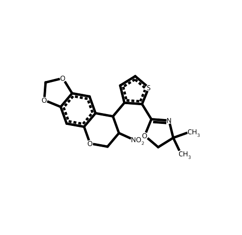 CC1(C)COC(c2sccc2C2c3cc4c(cc3OCC2[N+](=O)[O-])OCO4)=N1